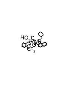 CC(C)(SCc1ccccc1OC(F)(F)F)[C@H](NC(=O)c1ccc2ccccc2c1OCC1CCCCC1)C(=O)O